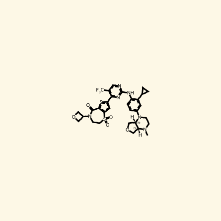 CN1CCN(c2ccc(Nc3ncc(C(F)(F)F)c(-c4cc5c(s4)C(=O)N(C4COC4)CCS5(=O)=O)n3)c(C3CC3)c2)[C@H]2COC[C@H]21